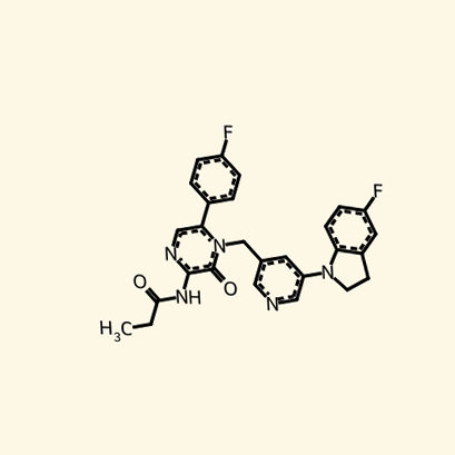 CCC(=O)Nc1ncc(-c2ccc(F)cc2)n(Cc2cncc(N3CCc4cc(F)ccc43)c2)c1=O